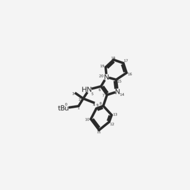 CC(C)(C)CC(C)(C)Nc1c(-c2ccccc2)nc2ccccn12